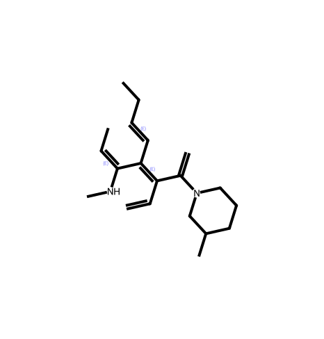 C=C/C(C(=C)N1CCCC(C)C1)=C(/C=C/CC)C(=C/C)\NC